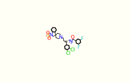 CN(C[C@@H](CCN1CCC2(CC1)CN(S(C)(=O)=O)c1ccccc12)c1ccc(Cl)c(Cl)c1)C(=O)c1cc(F)cc(F)c1